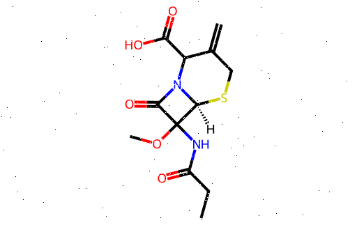 C=C1CS[C@@H]2N(C(=O)C2(NC(=O)CC)OC)C1C(=O)O